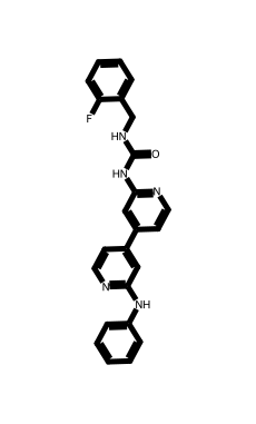 O=C(NCc1ccccc1F)Nc1cc(-c2ccnc(Nc3ccccc3)c2)ccn1